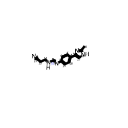 Cc1nc(-c2ccc(/N=C/NCCC#N)cc2)c[nH]1